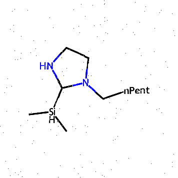 CCCCCCN1CCNC1[SiH](C)C